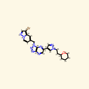 Brc1cnn2ccc(Cn3nnc4ncc(-c5cnn(CCC6CCCCO6)c5)nc43)cc12